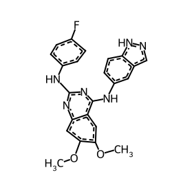 COc1cc2nc(Nc3ccc(F)cc3)nc(Nc3ccc4[nH]ncc4c3)c2cc1OC